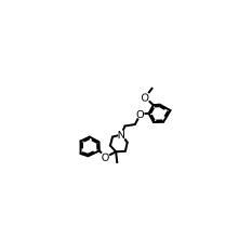 COc1ccccc1OCCN1CCC(C)(Oc2ccccc2)CC1